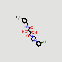 O=C(NCc1ccc(C(F)(F)F)cc1)[C@H](O)[C@@H](O)C(=O)N1CCN(c2cccc(Cl)c2)CC1